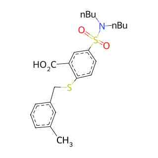 CCCCN(CCCC)S(=O)(=O)c1ccc(SCc2cccc(C)c2)c(C(=O)O)c1